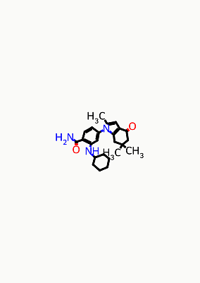 Cc1cc2c(n1-c1ccc(C(N)=O)c(NC3CCCCC3)c1)CC(C)(C)CC2=O